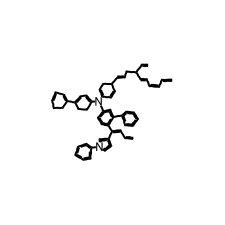 C=C/C=C\C=C\C(C=C)C/C=C/C1C=CC(N(C2=CC=C(C3=CC=CCC3)CC2)c2ccc(/C(=C/C=C)c3ccn(-c4ccccc4)c3)c(-c3ccccc3)c2)=CC1